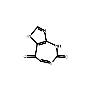 O=c1ncc(=O)c2[nH]cnc2[nH]1